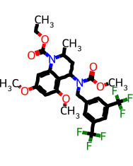 CCOC(=O)N1c2cc(OC)cc(OC)c2C(N(Cc2cc(C(F)(F)F)cc(C(F)(F)F)c2)C(=O)OC)CC1C